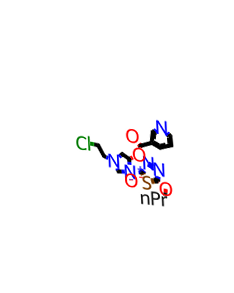 CCCOc1nnc([N+]2([O-])CN(CCCl)CC2OC(=O)c2cccnc2)s1